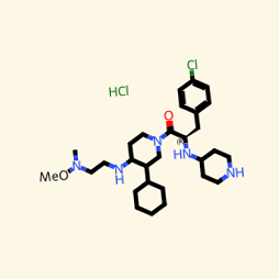 CON(C)CCNC1CCN(C(=O)[C@@H](Cc2ccc(Cl)cc2)NC2CCNCC2)CC1C1CCCCC1.Cl